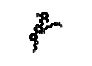 NCCCC[C@H](NC(=O)c1cccc(OCCF)c1)C(=O)COc1c(F)cccc1F